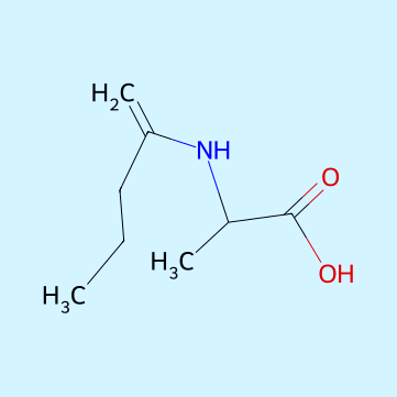 C=C(CCC)NC(C)C(=O)O